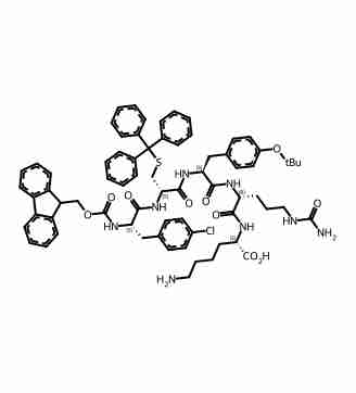 CC(C)(C)Oc1ccc(C[C@H](NC(=O)[C@@H](CSC(c2ccccc2)(c2ccccc2)c2ccccc2)NC(=O)[C@H](Cc2ccc(Cl)cc2)NC(=O)OCC2c3ccccc3-c3ccccc32)C(=O)N[C@H](CCCNC(N)=O)C(=O)N[C@@H](CCCCN)C(=O)O)cc1